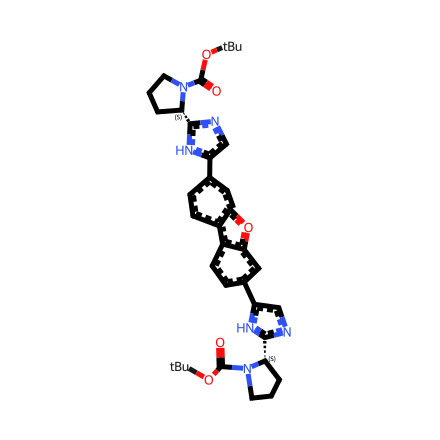 CC(C)(C)OC(=O)N1CCC[C@H]1c1ncc(-c2ccc3c(c2)oc2cc(-c4cnc([C@@H]5CCCN5C(=O)OC(C)(C)C)[nH]4)ccc23)[nH]1